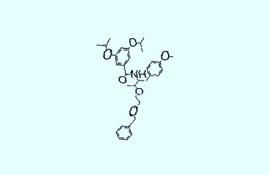 COc1ccc(CC(NC(=O)c2cc(OC(C)C)cc(OC(C)C)c2)C(C)OCCOCc2ccccc2)cc1